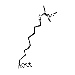 CCCCCCCCCCCCCCCCSC(C)=[N+](C)C